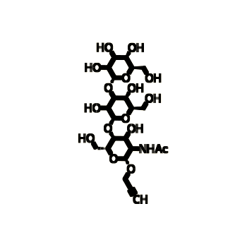 C#CCO[C@@H]1O[C@H](CO)[C@@H](O[C@@H]2O[C@H](CO)[C@H](O)C(O[C@H]3O[C@H](CO)[C@H](O)C(O)C3O)C2O)C(O)C1NC(C)=O